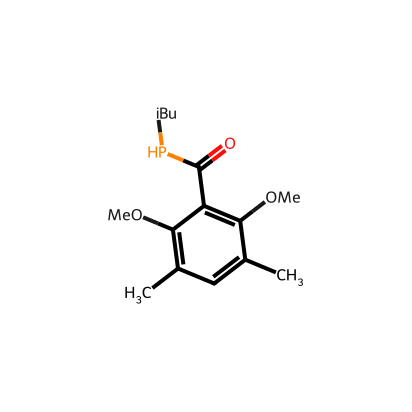 CCC(C)PC(=O)c1c(OC)c(C)cc(C)c1OC